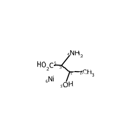 CC(O)C(N)C(=O)O.[Ni]